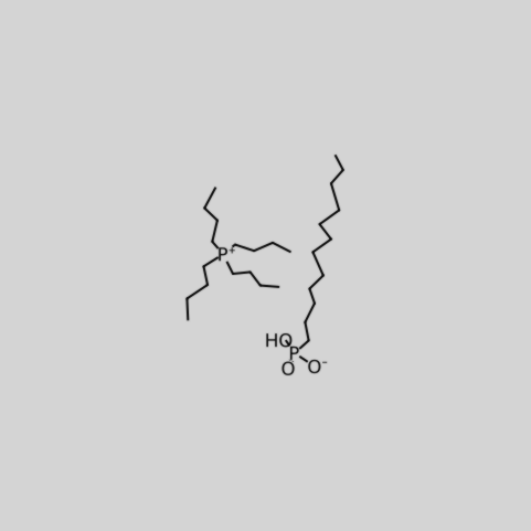 CCCCCCCCCCCCP(=O)([O-])O.CCCC[P+](CCCC)(CCCC)CCCC